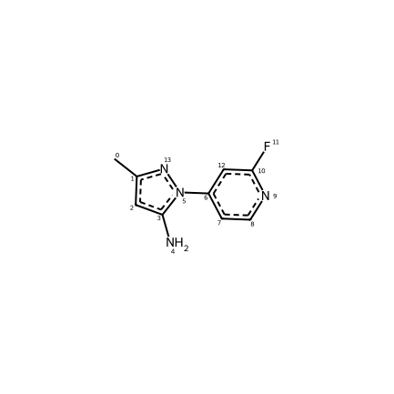 Cc1cc(N)n(-c2ccnc(F)c2)n1